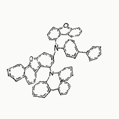 c1ccc(-c2ccc(N(c3cc(N(c4ccccc4)c4ccccc4-c4ccccc4)c4c(c3)oc3c5ccccc5ccc34)c3cccc4oc5ccccc5c34)cc2)cc1